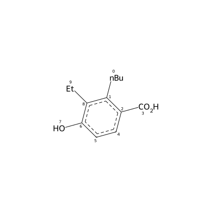 CCCCc1c(C(=O)O)ccc(O)c1CC